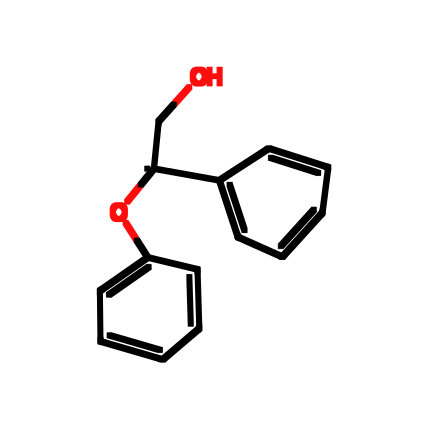 OC[C](Oc1ccccc1)c1ccccc1